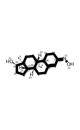 C[C@]12CC[C@H]3[C@@H](CCC4=CC(=NO)CC[C@@]43C)[C@@H]1CC[C@@H]2O